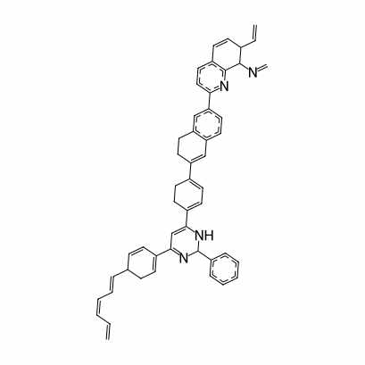 C=C/C=C\C=C\C1C=CC(C2=NC(c3ccccc3)NC(C3=CC=C(C4=Cc5ccc(-c6ccc7c(n6)C(N=C)C(C=C)C=C7)cc5CC4)CC3)=C2)=CC1